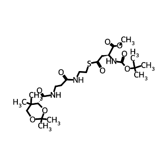 COC(=O)[C@H](CC(=O)SCCNC(=O)CCNC(=O)[C@@H]1OC(C)(C)OCC1(C)C)NC(=O)OC(C)(C)C